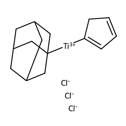 C1=CC[C]([Ti+3][C]23CC4CC(CC(C4)C2)C3)=C1.[Cl-].[Cl-].[Cl-]